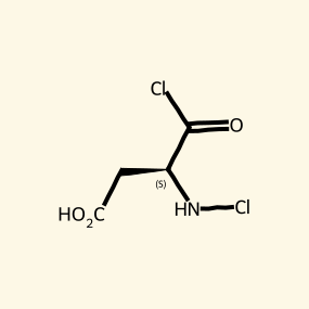 O=C(O)C[C@H](NCl)C(=O)Cl